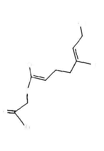 CC(=CCO)CCC=C(C)CCC(=O)C(C)C